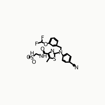 Cc1sc(N(Cc2cccc(OC(F)F)c2)c2ccc(C#N)cc2)nc1C(=O)NC[SH](=O)=O